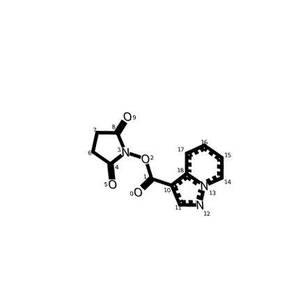 O=C(ON1C(=O)CCC1=O)c1cnn2ccccc12